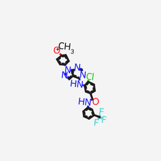 COc1ccc(-n2ncc3c(Nc4cc(C(=O)Nc5cccc(C(F)(F)F)c5)ccc4Cl)ncnc32)cc1